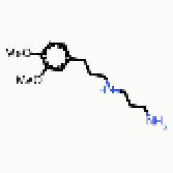 COc1ccc(CCCNCCCN)cc1OC